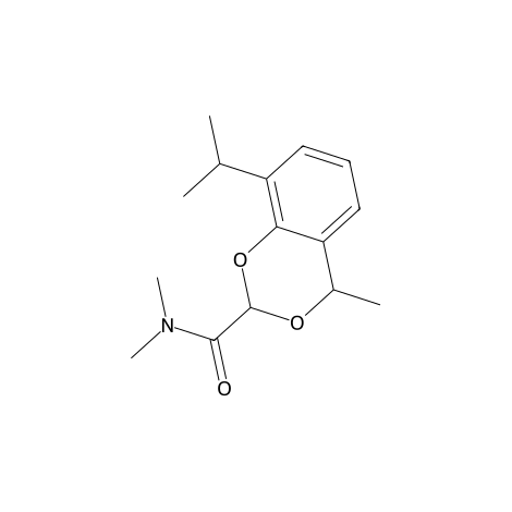 CC(C)c1cccc2c1OC(C(=O)N(C)C)OC2C